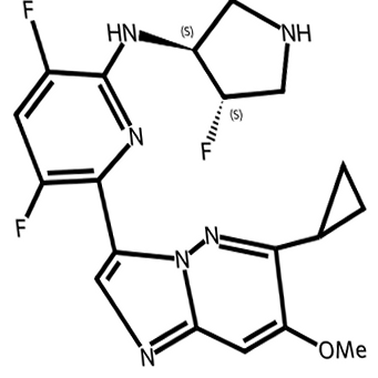 COc1cc2ncc(-c3nc(N[C@H]4CNC[C@@H]4F)c(F)cc3F)n2nc1C1CC1